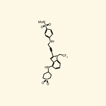 CNS(=O)(=O)c1ccc(NCC#Cc2cc3c(NC4CCS(=O)(=O)CC4)cccc3n2CC(F)(F)F)cc1